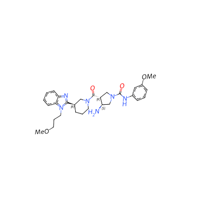 COCCCn1c([C@@H]2CCCN(C(=O)[C@@H]3CN(C(=O)Nc4cccc(OC)c4)C[C@H]3N)C2)nc2ccccc21